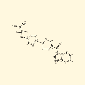 CC(C)(Oc1ccc(C2CCN(C(=O)c3c[nH]c4ccccc34)CC2)cc1)C(=O)O